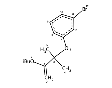 C=C(OCC(C)C)C(C)(C)Oc1cccc(Br)c1